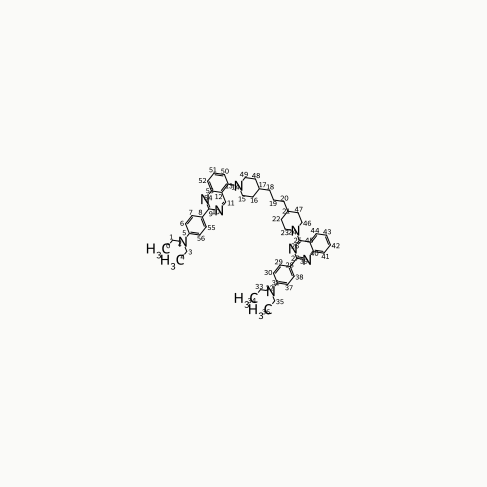 CCN(CC)c1ccc(-c2ncc3c(N4CCC(CCCC5CCN(c6nc(-c7ccc(N(CC)CC)cc7)nc7ccccc67)CC5)CC4)cccc3n2)cc1